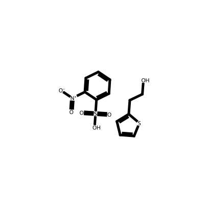 O=[N+]([O-])c1ccccc1S(=O)(=O)O.OCCc1cccs1